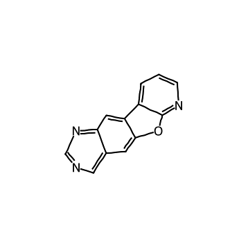 c1cnc2oc3cc4cncnc4cc3c2c1